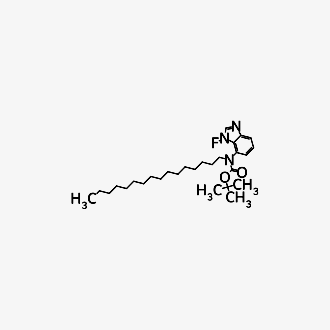 CCCCCCCCCCCCCCCCN(C(=O)OC(C)(C)C)c1cccc2ncn(F)c12